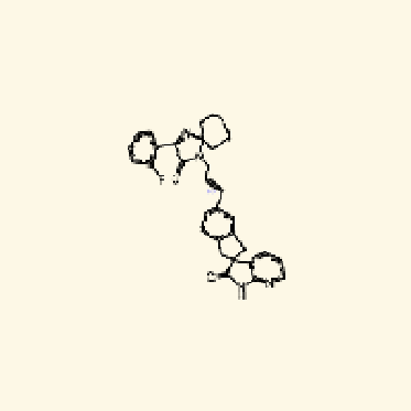 O=C1C(c2ccccc2F)=NC2(CCCCC2)N1C/C=C/c1ccc2c(c1)CC1(C2)C(=O)Nc2ncccc21